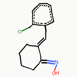 O/N=C1\CCCC\C1=C/c1ccccc1Cl